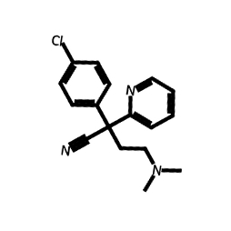 CN(C)CCC(C#N)(c1ccc(Cl)cc1)c1ccccn1